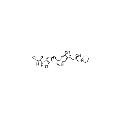 N#Cc1cc2c(Oc3ccc(NC(=O)NC4CC4)c(Cl)c3)ccnc2cc1OC[C@@H](O)CN1CCCCC1